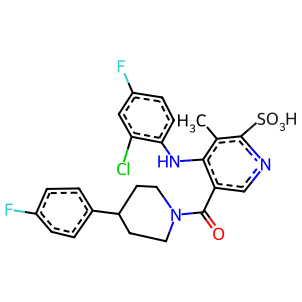 Cc1c(S(=O)(=O)O)ncc(C(=O)N2CCC(c3ccc(F)cc3)CC2)c1Nc1ccc(F)cc1Cl